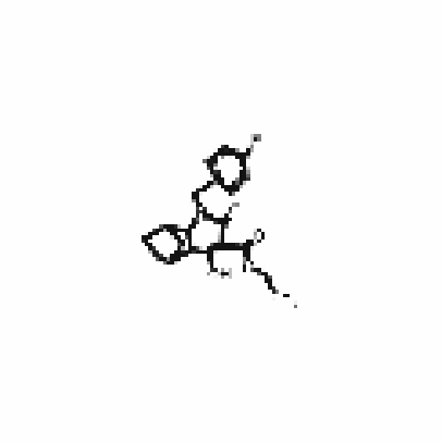 CCOC(=O)C1=C(O)C2C3CCC(C3)C2N(Cc2ccc(F)cc2)C1=O